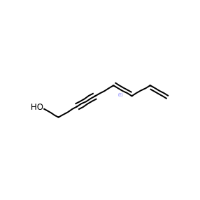 C=C/C=C/C#CCO